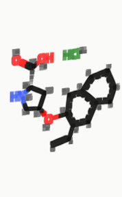 C=Cc1cc2ccccc2cc1O[C@H]1CN[C@H](C(=O)O)C1.Cl